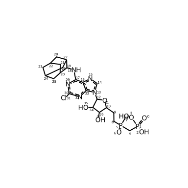 O=P(O)(O)CP(=O)(O)CCC1OC(n2cnc3c(NC4C5CC6CC(C5)CC4C6)nc(Cl)nc32)C(O)C1O